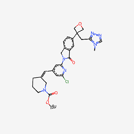 Cn1cnnc1CC1(c2ccc3c(c2)C(=O)N(c2cc(/C=C4/CCCN(C(=O)OC(C)(C)C)C4)cc(Cl)n2)C3)COC1